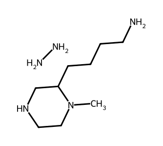 CN1CCNCC1CCCCN.NN